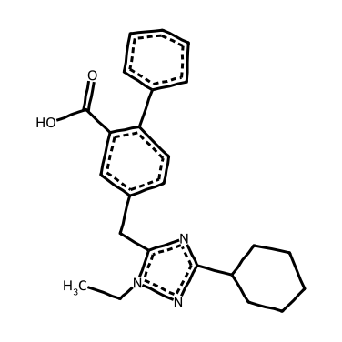 CCn1nc(C2CCCCC2)nc1Cc1ccc(-c2ccccc2)c(C(=O)O)c1